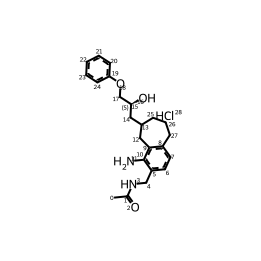 CC(=O)NCc1ccc2c(c1N)CC(C[C@H](O)COc1ccccc1)CCC2.Cl